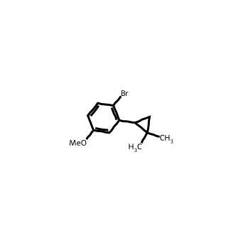 COc1ccc(Br)c(C2CC2(C)C)c1